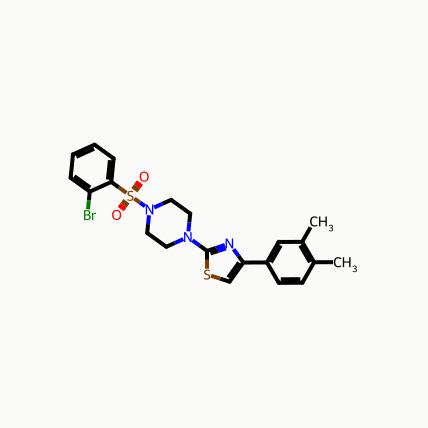 Cc1ccc(-c2csc(N3CCN(S(=O)(=O)c4ccccc4Br)CC3)n2)cc1C